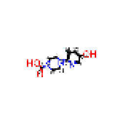 O=C(O)N1CCN(c2ncc(O)cc2F)CC1